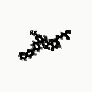 Cc1nc(NCC(NC(=O)OCCC(=O)O)C(=O)O)c(C)c(N2CCC(c3ccc4c(n3)NCCC4)CC2)n1